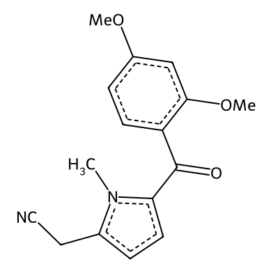 COc1ccc(C(=O)c2ccc(CC#N)n2C)c(OC)c1